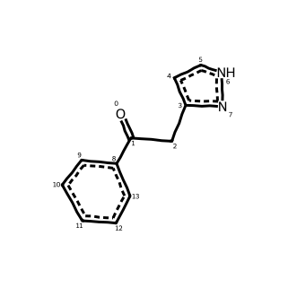 O=C(Cc1cc[nH]n1)c1ccccc1